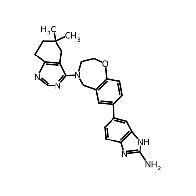 CC1(C)CCc2ncnc(N3CCOc4ccc(-c5ccc6nc(N)[nH]c6c5)cc4C3)c2C1